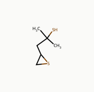 CC(C)(S)CC1CS1